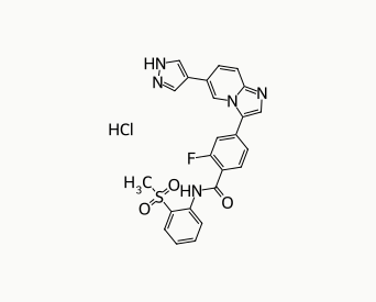 CS(=O)(=O)c1ccccc1NC(=O)c1ccc(-c2cnc3ccc(-c4cn[nH]c4)cn23)cc1F.Cl